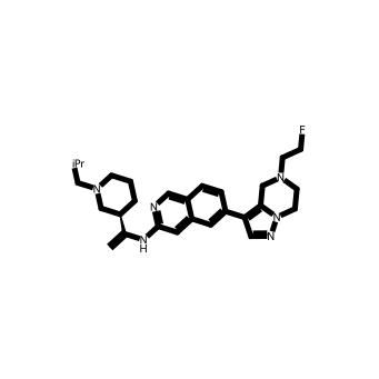 C=C(Nc1cc2cc(-c3cnn4c3CN(CCF)CC4)ccc2cn1)[C@@H]1CCCN(CC(C)C)C1